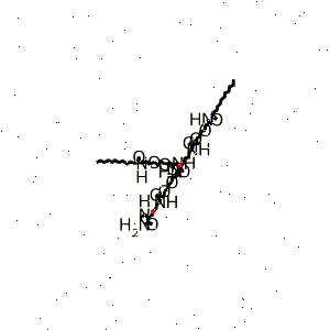 CCCCCCCCCCCC(=O)NCCOCCOCC(=O)NCCCCC(NC(=O)COCCOCCNC(=O)CCCCCCCCCCC)C(=O)NCCOCCOCC(=O)NCCCCC(NC)C(N)=O